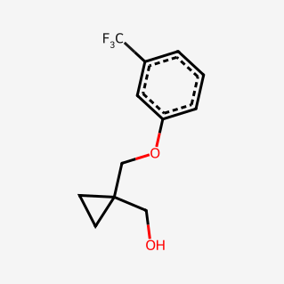 OCC1(COc2cccc(C(F)(F)F)c2)CC1